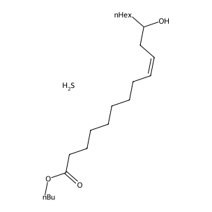 CCCCCCC(O)C/C=C\CCCCCCCC(=O)OCCCC.S